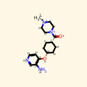 CN1CCN(C(=O)[C@H]2CC[C@@H](Oc3ccncc3N)CC2)CC1